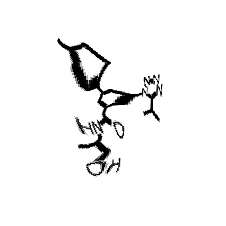 Cc1ccc(-c2cc(C(=O)NC(C)CO)cc(-n3nnnc3C(C)C)c2)cc1